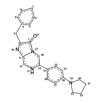 O=c1c(Cc2ccccc2)nc2c[nH]c(-c3ccc(N4CCCC4)cc3)cn1-2